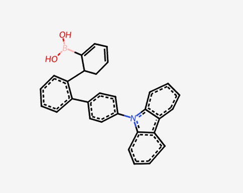 OB(O)C1=CC=CCC1c1ccccc1-c1ccc(-n2c3ccccc3c3ccccc32)cc1